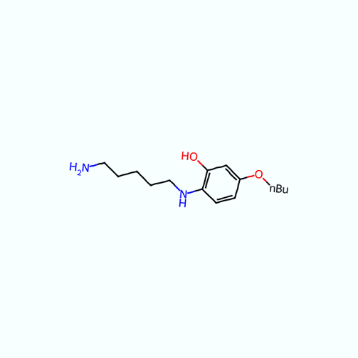 CCCCOc1ccc(NCCCCCN)c(O)c1